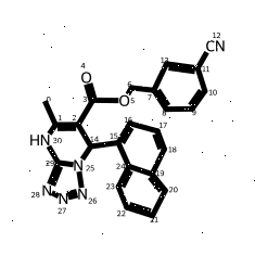 CC1=C(C(=O)OCc2cccc(C#N)c2)C(c2cccc3ccccc23)n2nnnc2N1